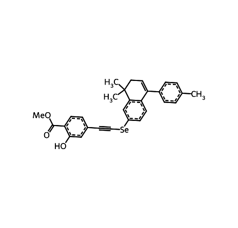 COC(=O)c1ccc(C#C[Se]c2ccc3c(c2)C(C)(C)CC=C3c2ccc(C)cc2)cc1O